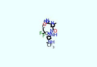 Cc1cc2cc(n1)-c1cnn(C)c1OCCCC(C(F)F)CN1/C(=N/C2=O)Nc2cc(NC(C)C(F)(F)F)ccc21